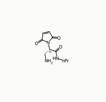 CCCNC(=O)[C@H](CN)N1C(=O)C=CC1=O